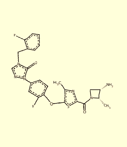 Cc1nc(C(=O)N2C[C@H](N)[C@@H]2C)sc1Oc1ccc(-n2ncn(Cc3ccccc3F)c2=O)cc1F